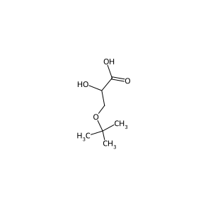 CC(C)(C)OCC(O)C(=O)O